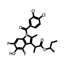 CCC(C)OC(=O)C(C)c1c(C)n(C(=O)c2ccc(Cl)c(Cl)c2)c2cc(F)c(O)c(F)c12